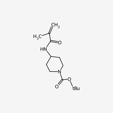 C=C(C)C(=O)NC1CCN(C(=O)OC(C)(C)C)CC1